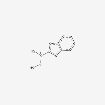 SS[SH](S)c1nc2ccccc2s1